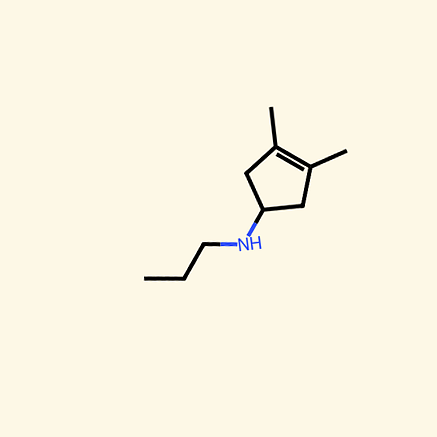 CCCNC1CC(C)=C(C)C1